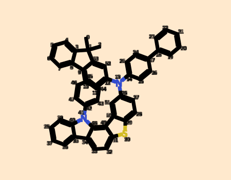 CC1(C)c2ccccc2-c2ccc(N(c3ccc(-c4ccccc4)cc3)c3ccc4sc5ccc6c7ccccc7n(-c7ccccc7)c6c5c4c3)cc21